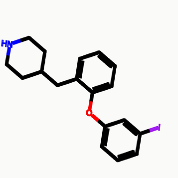 Ic1cccc(Oc2ccccc2CC2CCNCC2)c1